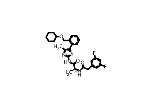 Cc1nc(NC(=O)[C@H](C)NC(=O)Cc2cc(F)cc(F)c2)sc1-c1ccccc1COC1CCCCC1